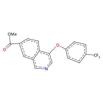 COC(=O)c1ccc2c(Oc3ccc(C(F)(F)F)cc3)cncc2c1